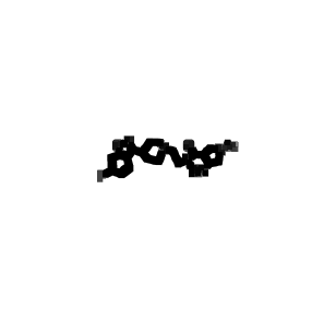 CCN(CCN1CCC(c2noc3cc(F)ccc23)CC1)C(=O)C1CN(C(C)=O)CC1N=O